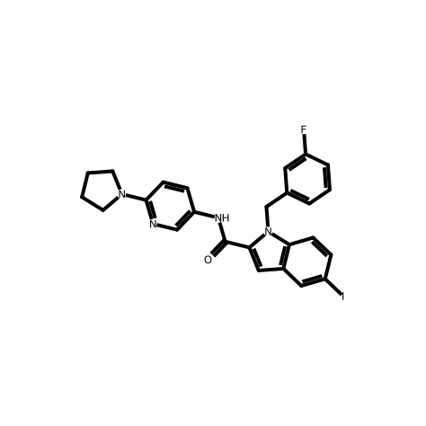 O=C(Nc1ccc(N2CCCC2)nc1)c1cc2cc(I)ccc2n1Cc1cccc(F)c1